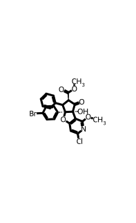 COC(=O)[C@H]1C(=O)[C@@]2(O)c3c(cc(Cl)nc3OC)O[C@@]2(c2ccc(Br)cc2)C1c1ccccc1